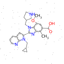 COc1cc(C(=O)O)c(C)c2nc(-c3cc4cccnc4n3CC3CC3)n(CC3CCNC3)c12